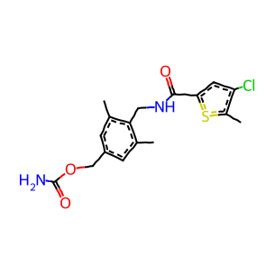 Cc1cc(COC(N)=O)cc(C)c1CNC(=O)c1cc(Cl)c(C)s1